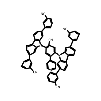 N#Cc1cccc(-c2ccc3c4ccc(-c5cccc(C#N)c5)cc4n(-c4cc(-c5ccncc5)c(-n5c6cc(-c7cccc(C#N)c7)ccc6c6ccc(-c7cccc(C#N)c7)cc65)cc4C#N)c3c2)c1